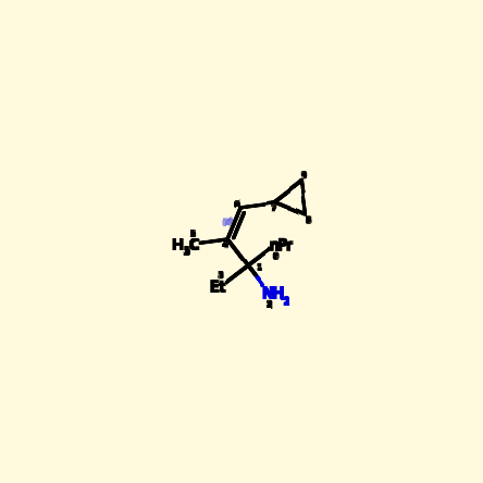 CCCC(N)(CC)/C(C)=C\C1CC1